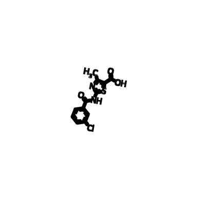 Cc1nc(NC(=O)c2cccc(Cl)c2)sc1C(=O)O